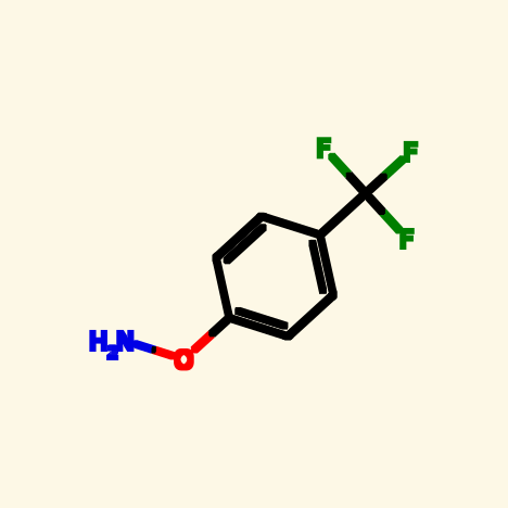 NOc1ccc(C(F)(F)F)cc1